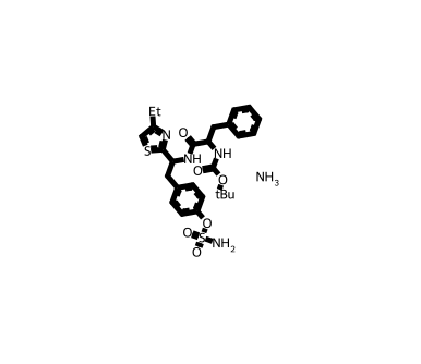 CCc1csc(C(Cc2ccc(OS(N)(=O)=O)cc2)NC(=O)C(Cc2ccccc2)NC(=O)OC(C)(C)C)n1.N